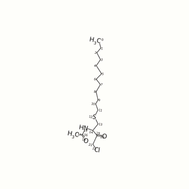 CCCCCCCCCCCCSCC(NC(C)=O)C(=O)CCl